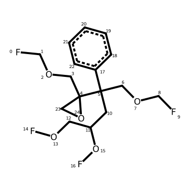 FCOCC1(C(COCF)(CC(COF)OF)c2ccccc2)CO1